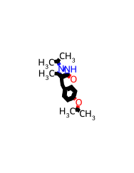 Cc1c(Cc2ccc(OC(C)C)cc2)c(=O)[nH]n1C(C)C